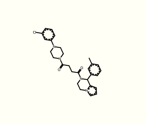 Cc1cccc(C2c3cccn3CCN2C(=O)CCC(=O)N2CCN(c3cccc(Cl)c3)CC2)c1